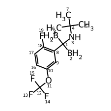 BC(B)(NC(C)(C)C)c1cc(OC(F)(F)F)ccc1F